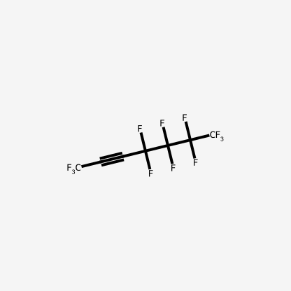 FC(F)(F)C#CC(F)(F)C(F)(F)C(F)(F)C(F)(F)F